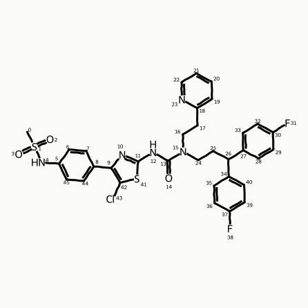 CS(=O)(=O)Nc1ccc(-c2nc(NC(=O)N(CCc3ccccn3)CCC(c3ccc(F)cc3)c3ccc(F)cc3)sc2Cl)cc1